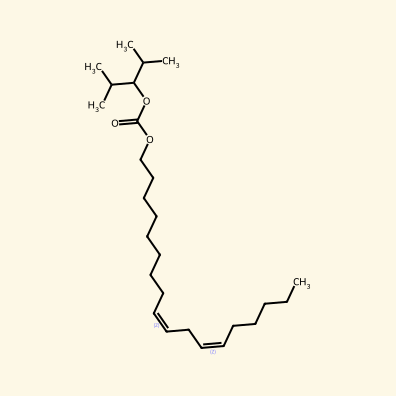 CCCCC/C=C\C/C=C\CCCCCCCCOC(=O)OC(C(C)C)C(C)C